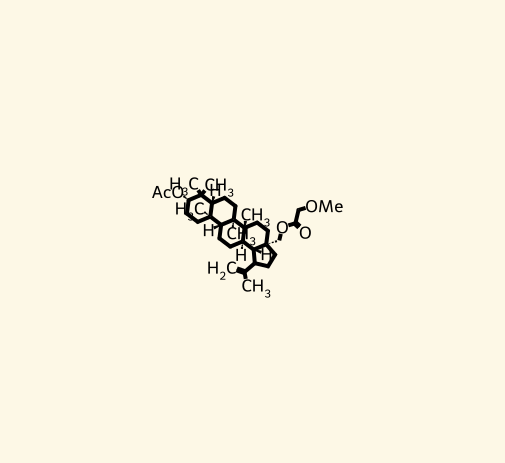 C=C(C)C1CC[C@]2(COC(=O)COC)CC[C@]3(C)[C@H](CC[C@@H]4[C@@]5(C)CC[C@H](OC(C)=O)C(C)(C)[C@@H]5CC[C@]43C)[C@@H]12